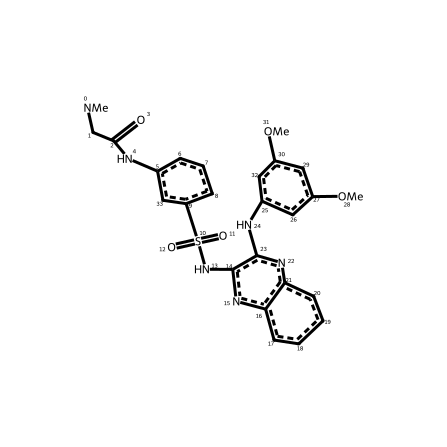 CNCC(=O)Nc1cccc(S(=O)(=O)Nc2nc3ccccc3nc2Nc2cc(OC)cc(OC)c2)c1